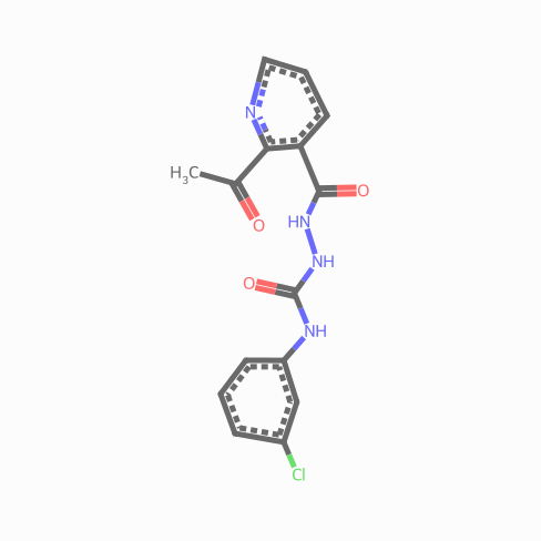 CC(=O)c1ncccc1C(=O)NNC(=O)Nc1cccc(Cl)c1